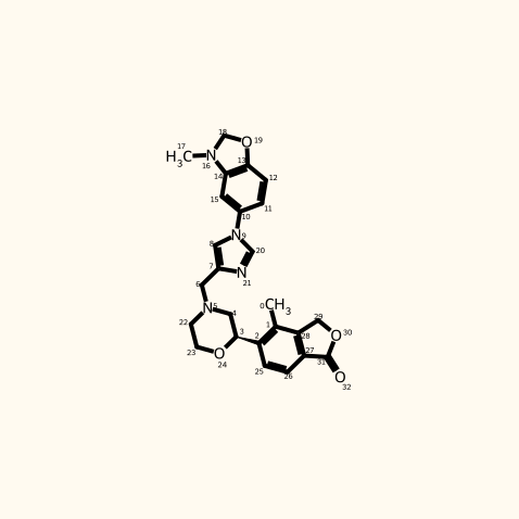 Cc1c([C@@H]2CN(Cc3cn(-c4ccc5c(c4)N(C)CO5)cn3)CCO2)ccc2c1COC2=O